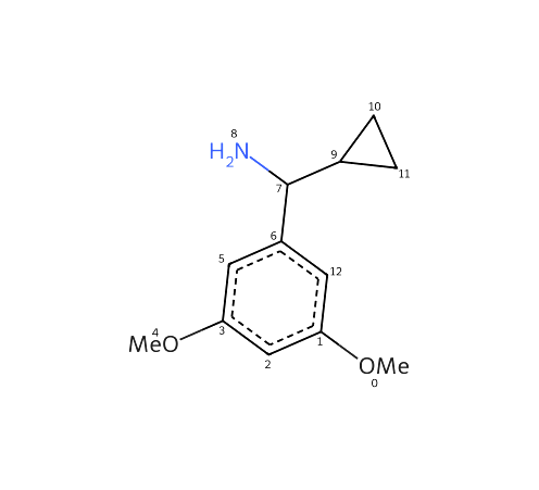 COc1cc(OC)cc(C(N)C2CC2)c1